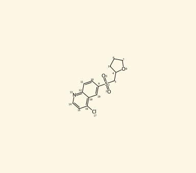 O=S(=O)(CC1CCCO1)c1ccc2nccc(Cl)c2c1